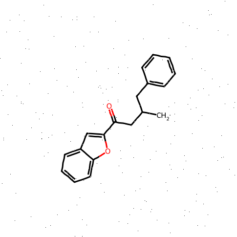 [CH2]C(CC(=O)c1cc2ccccc2o1)Cc1ccccc1